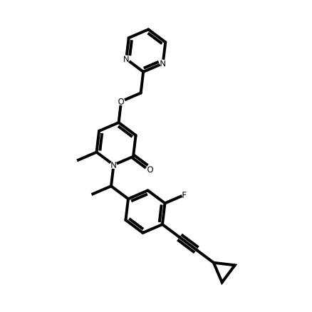 Cc1cc(OCc2ncccn2)cc(=O)n1C(C)c1ccc(C#CC2CC2)c(F)c1